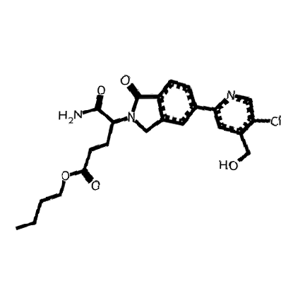 CCCCOC(=O)CCC(C(N)=O)N1Cc2cc(-c3cc(CO)c(Cl)cn3)ccc2C1=O